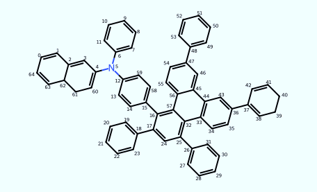 C1=CC2=CC(N(c3ccccc3)c3ccc(-c4c(-c5ccccc5)cc(-c5ccccc5)c5c6ccc(C7=CCCC=C7)cc6c6cc(-c7ccccc7)ccc6c45)cc3)=CCC2C=C1